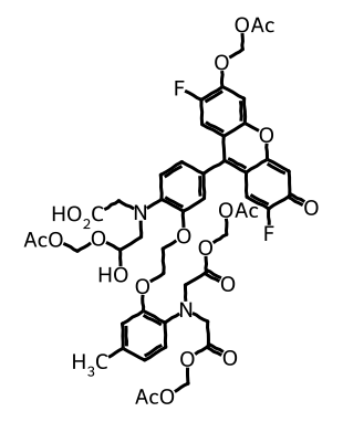 CC(=O)OCOC(=O)CN(CC(=O)OCOC(C)=O)c1ccc(C)cc1OCCOc1cc(-c2c3cc(F)c(=O)cc-3oc3cc(OCOC(C)=O)c(F)cc23)ccc1N(CC(=O)O)CC(O)OCOC(C)=O